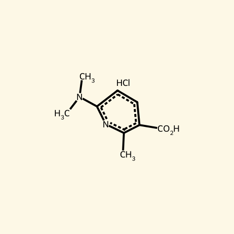 Cc1nc(N(C)C)ccc1C(=O)O.Cl